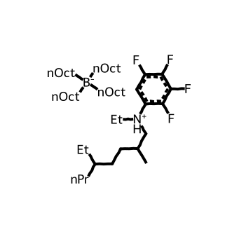 CCCC(CC)CCC(C)C[NH+](CC)c1cc(F)c(F)c(F)c1F.CCCCCCCC[B-](CCCCCCCC)(CCCCCCCC)CCCCCCCC